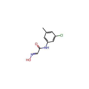 Cc1cc(Cl)cc(NC(=O)C=NO)c1